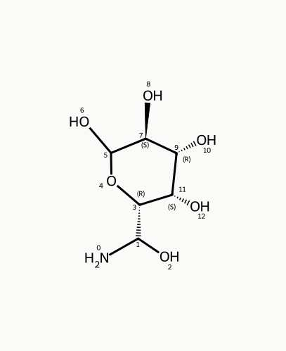 NC(O)[C@@H]1OC(O)[C@@H](O)[C@H](O)[C@@H]1O